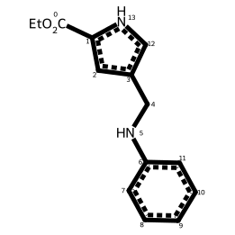 CCOC(=O)c1cc(CNc2ccccc2)c[nH]1